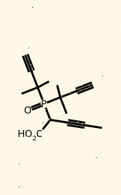 C#CC(C)(C)P(=O)(C(C#CC)C(=O)O)C(C)(C)C#C